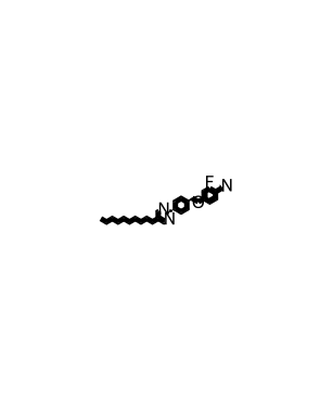 CCCCCCCCCCc1cnc([C@H]2CC[C@H](COc3ccc(C#N)c(F)c3)CC2)nc1